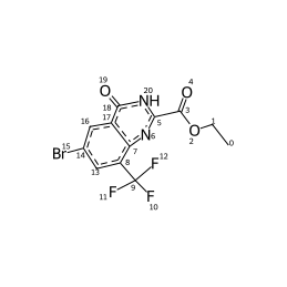 CCOC(=O)c1nc2c(C(F)(F)F)cc(Br)cc2c(=O)[nH]1